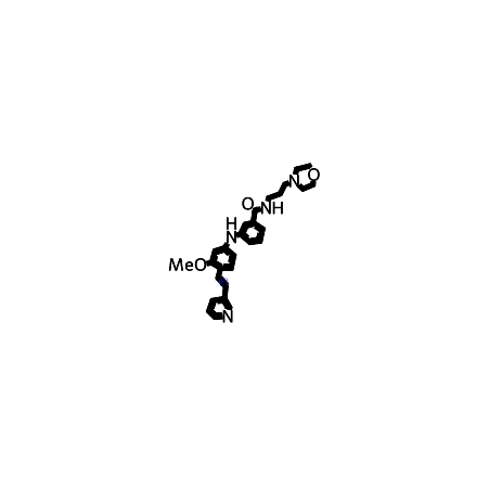 COc1cc(Nc2cccc(C(=O)NCCCN3CCOCC3)c2)ccc1/C=C/c1cccnc1